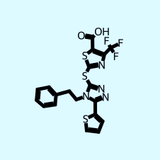 O=C(O)c1sc(Sc2nnc(-c3cccs3)n2CCc2ccccc2)nc1C(F)(F)F